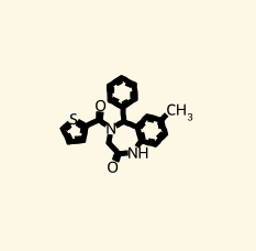 Cc1ccc2c(c1)C(c1ccccc1)N(C(=O)c1cccs1)CC(=O)N2